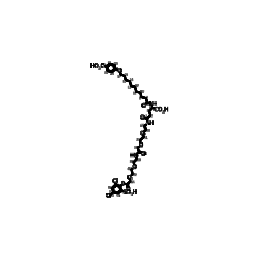 O=C(CCC(NC(=O)CCCCCCCCCCOc1ccc(C(=O)O)cc1)C(=O)O)NCCOCCOCC(=O)NCCOCCOCC(=O)Oc1c(Cl)cc(Cl)cc1S(=O)(=O)O